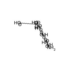 NCC(=O)NCCNC(=O)COCCOCCNC(=O)COCCOCCNC(=O)CC[C@H](NC(=O)CCCCCCCCCCCCCCCCC(=O)O)C(=O)O